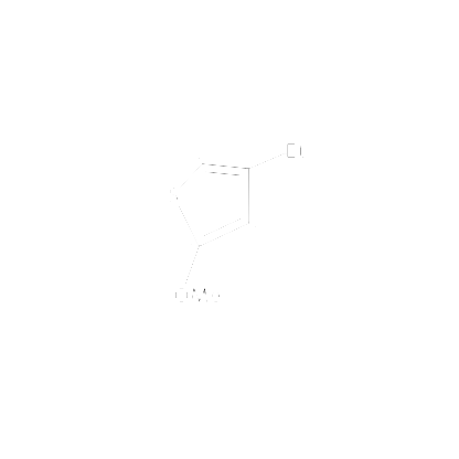 CCc1csc(OC)c1